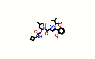 COc1cccc(OC)c1-c1cc(C(=O)N[C@H](CC(=O)NC2CCC2)CC(C)C)nn1C(C)C(C)C